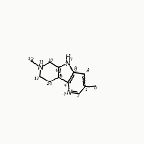 Cc1cnc2c3c([nH]c2c1)CN(C)CC3